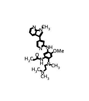 C=CC(=O)Nc1cc(Nc2cc(-c3cn(C)c4ncccc34)ccn2)c(OC)cc1N(C)CCN(C)C